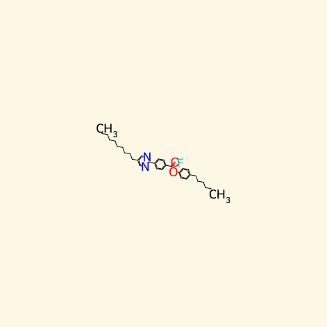 CCCCCCCCCCc1cnc(-c2ccc(C(=O)Oc3ccc(CCCCCC)cc3F)cc2)nc1